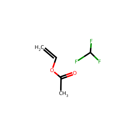 C=COC(C)=O.FC(F)F